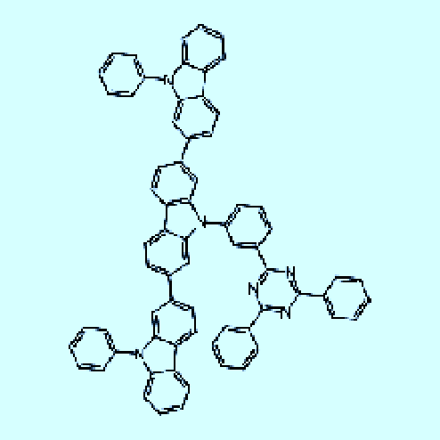 c1ccc(-c2nc(-c3ccccc3)nc(-c3cccc(-n4c5cc(-c6ccc7c8ccccc8n(-c8ccccc8)c7c6)ccc5c5ccc(-c6ccc7c8ccccc8n(-c8ccccc8)c7c6)cc54)c3)n2)cc1